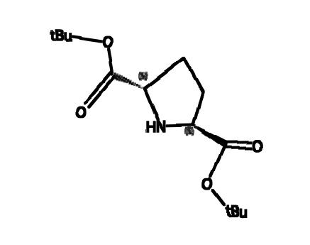 CC(C)(C)OC(=O)[C@@H]1CC[C@@H](C(=O)OC(C)(C)C)N1